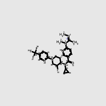 C/C(=N/N)N(N)c1ccc(C(=O)N(C2CC2)[C@@H]2CCN(c3ccc(C(F)(F)F)cn3)CC2F)cn1